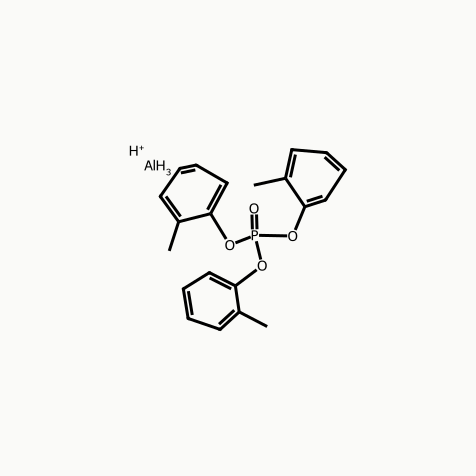 Cc1ccccc1OP(=O)(Oc1ccccc1C)Oc1ccccc1C.[AlH3].[H+]